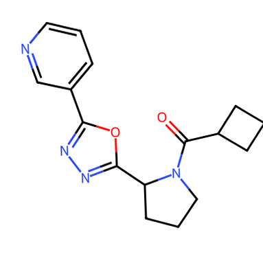 O=C(C1CCC1)N1CCCC1c1nnc(-c2cccnc2)o1